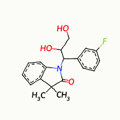 CC1(C)C(=O)N(C(c2cccc(F)c2)C(O)CO)c2ccccc21